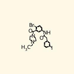 CCN1CCN(C(=O)c2cc(NC(=O)Cc3cccc(I)c3)ccc2Br)CC1